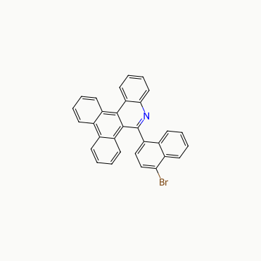 Brc1ccc(-c2nc3ccccc3c3c4ccccc4c4ccccc4c23)c2ccccc12